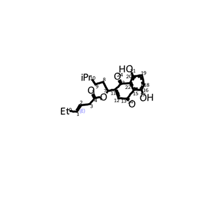 CC/C=C/CC(=O)OC(CCC(C)C)C1=CC(=O)c2c(O)ccc(O)c2C1=O